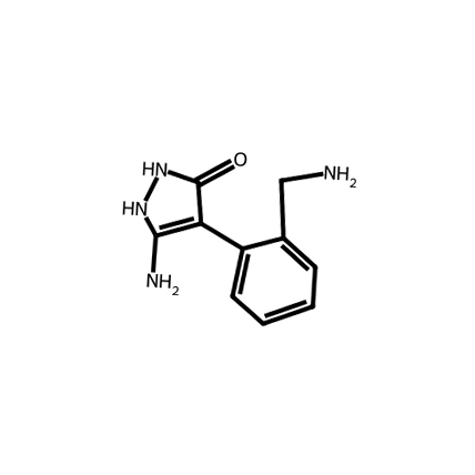 NCc1ccccc1-c1c(N)[nH][nH]c1=O